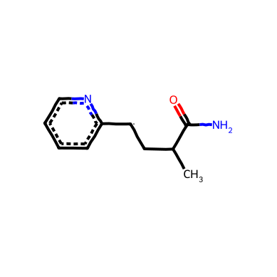 CC(C[CH]c1ccccn1)C(N)=O